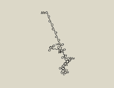 CC[C@@]1(O)C(=O)OCc2c1cc1n(c2=O)Cc2cc3c(CNC(=O)CCCNC(=O)C(CCC(=O)NCCOCCOCCOCCOCCOCCOCCOCCOC)NC(=O)CCCN4C(=O)C=CC4=O)c(OC)c(F)cc3nc2-1